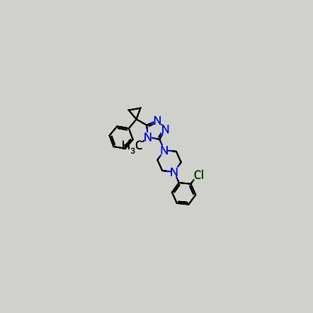 Cn1c(N2CCN(c3ccccc3Cl)CC2)nnc1C1(c2ccccc2)CC1